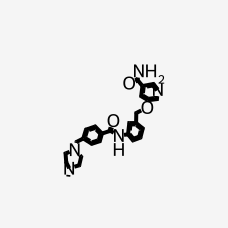 CN1CCN(Cc2ccc(C(=O)Nc3cccc(COc4cncc(C(N)=O)c4)c3)cc2)CC1